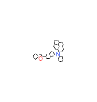 c1ccc(N(c2ccc3cc(-c4cc5ccccc5o4)ccc3c2)c2ccc3ccc4cccc5ccc2c3c45)cc1